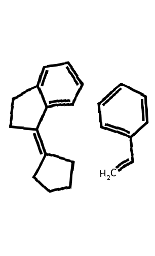 C=Cc1ccccc1.c1ccc2c(c1)CCC2=C1CCCC1